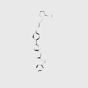 CC1CCCN1CCCOc1ccc(-c2nc(CC(=O)Nc3ccc(F)cc3)co2)cc1